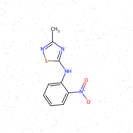 Cc1nsc(Nc2ccccc2[N+](=O)[O-])n1